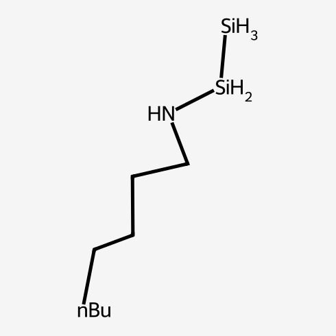 CCCCCCCCN[SiH2][SiH3]